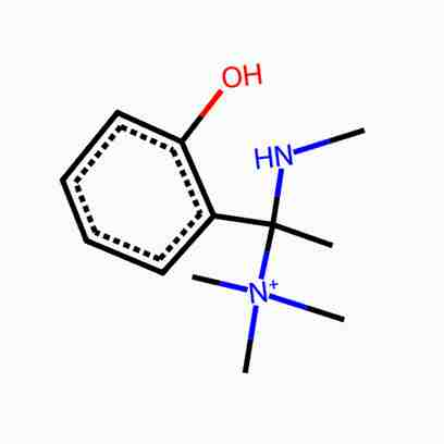 CNC(C)(c1ccccc1O)[N+](C)(C)C